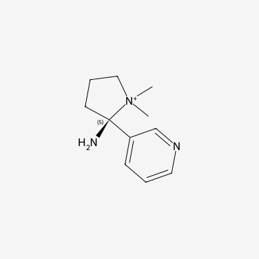 C[N+]1(C)CCC[C@@]1(N)c1cccnc1